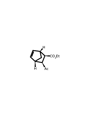 CCOC(=O)[C@H]1[C@@H](C(C)=O)[C@@H]2C=C[C@H]1C2